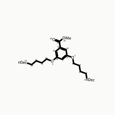 CCCCCCCCCCCCCCOc1cc(OCCCCCCCCCCCCCC)cc(C(=O)OC)c1